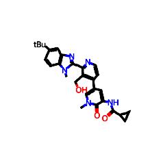 Cn1cc(-c2ccnc(-c3nc4cc(C(C)(C)C)ccc4n3C)c2CO)cc(NC(=O)C2CC2)c1=O